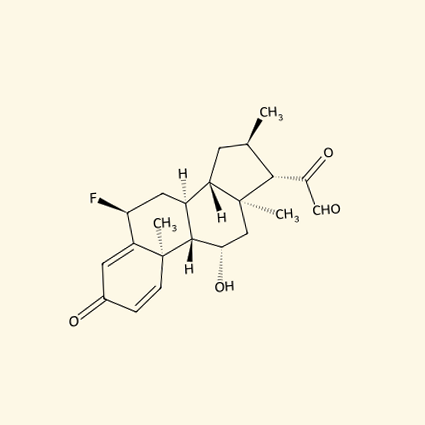 C[C@@H]1C[C@H]2[C@@H]3C[C@H](F)C4=CC(=O)C=C[C@]4(C)[C@H]3[C@@H](O)C[C@]2(C)[C@H]1C(=O)C=O